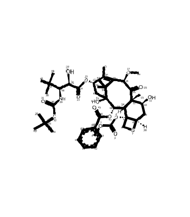 COC(=O)O[C@@]12CO[C@@H]1C[C@H](O)[C@@]1(C)C(=O)[C@H](OC)C3=C(C)[C@@H](OC(=O)[C@H](O)[C@@H](NC(=O)OC(C)(C)C)C(C)(C)C)C[C@@](O)([C@@H](OC(=O)c4ccccc4)[C@H]21)C3(C)C